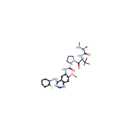 CN[C@@H](C)C(=O)N[C@H](C(=O)N1CCC[C@H]1C(=O)Nc1cc2c(Nc3ccccc3F)ncnc2cc1OC)C(C)(C)C